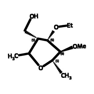 CCO[C@@H]1[C@@H](OC)[C@H](C)OC(C)[C@@H]1CO